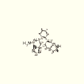 Nc1nc(-c2ccccc2)c(-c2ccc3[nH]ncc3c2)c2ncnn12